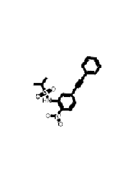 CC(C)S(=O)(=O)Nc1cc(C#Cc2ccccc2)ccc1[N+](=O)[O-]